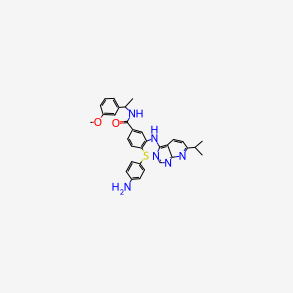 COc1cccc(C(C)NC(=O)c2ccc(Sc3ccc(N)cc3)c(Nc3ncnc4nc(C(C)C)ccc34)c2)c1